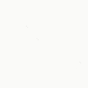 CS(C)(=O)=NC1=CCC(c2ccc(-c3nc4cc(OC5CCOCC5)[nH]c4cc3F)cc2)C=C1